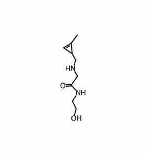 CC1=CC1CNCC(=O)NCCO